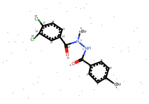 CCCCN(NC(=O)c1ccc(C(C)(C)C)cc1)C(=O)c1ccc(Cl)c(Cl)c1